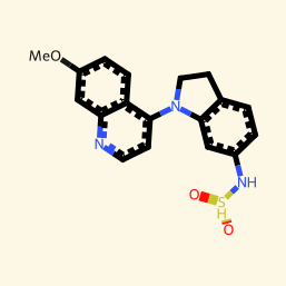 COc1ccc2c(N3CCc4ccc(N[SH](=O)=O)cc43)ccnc2c1